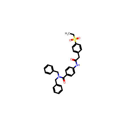 CCS(=O)(=O)c1ccc(CC(=O)Nc2ccc(C(=O)N(Cc3ccccc3)Cc3ccccc3)cc2)cc1